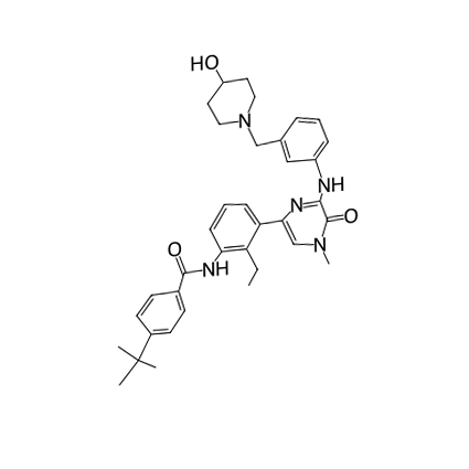 CCc1c(NC(=O)c2ccc(C(C)(C)C)cc2)cccc1-c1cn(C)c(=O)c(Nc2cccc(CN3CCC(O)CC3)c2)n1